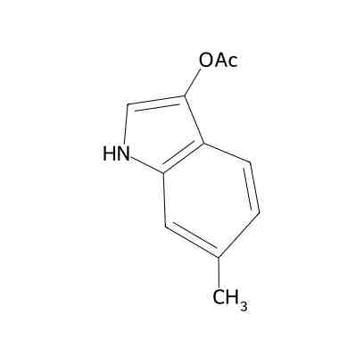 CC(=O)Oc1c[nH]c2cc(C)ccc12